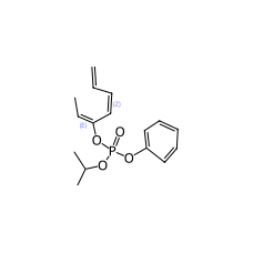 C=C/C=C\C(=C/C)OP(=O)(Oc1ccccc1)OC(C)C